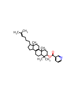 CC(C)=CCCCC1CCC2C3=C(CCC12C)C1(C)CCC(OC(=O)c2cccnc2)C(C)(C)C1CC3